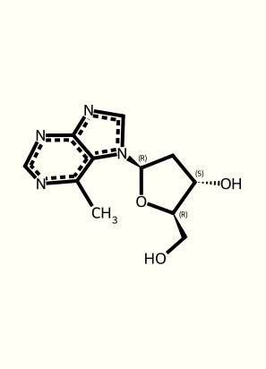 Cc1ncnc2ncn([C@H]3C[C@H](O)[C@@H](CO)O3)c12